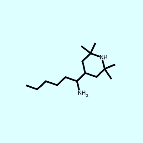 CCCCCC(N)C1CC(C)(C)NC(C)(C)C1